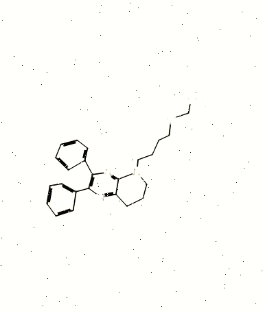 O=C(O)COCCCCN1CCCc2nc(-c3ccccc3)c(-c3ccccc3)nc21